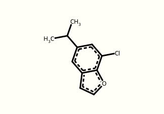 CC(C)c1cc(Cl)c2occc2c1